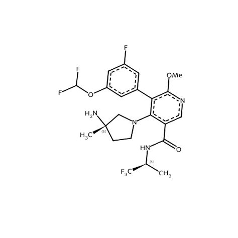 COc1ncc(C(=O)N[C@@H](C)C(F)(F)F)c(N2CC[C@](C)(N)C2)c1-c1cc(F)cc(OC(F)F)c1